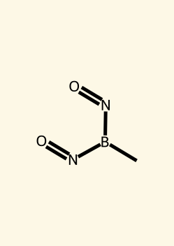 CB(N=O)N=O